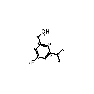 C[C](C)c1cc(F)cc(CO)c1